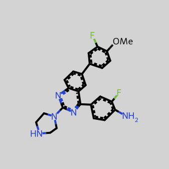 COc1ccc(-c2ccc3nc(N4CCNCC4)nc(-c4ccc(N)c(F)c4)c3c2)cc1F